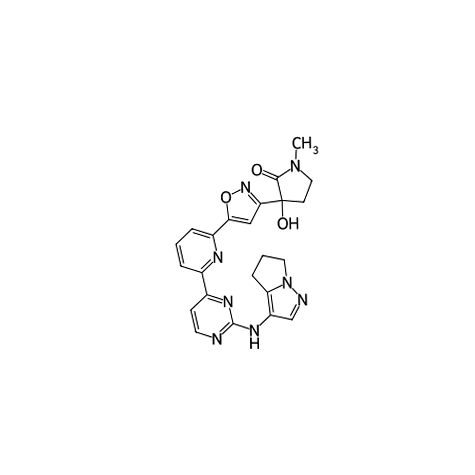 CN1CCC(O)(c2cc(-c3cccc(-c4ccnc(Nc5cnn6c5CCC6)n4)n3)on2)C1=O